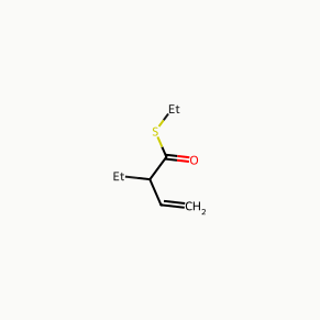 C=CC(CC)C(=O)SCC